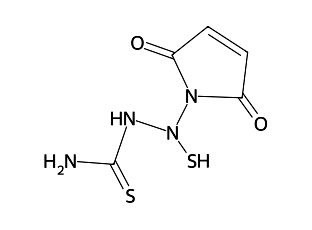 NC(=S)NN(S)N1C(=O)C=CC1=O